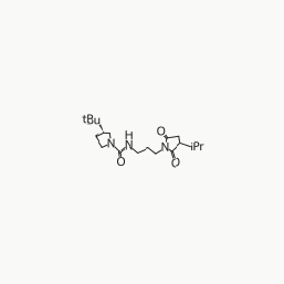 CC(C)C1CC(=O)N(CCCNC(=O)N2CC[C@@H](C(C)(C)C)C2)C1=O